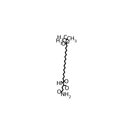 CC(C)(C)OC(=O)CCCCCCCCCCCCCCCCC(=O)NC(C=O)CCC(N)=O